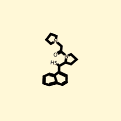 O=C(CN1CCCC1)N1CCCC1C(S)c1cccc2ccccc12